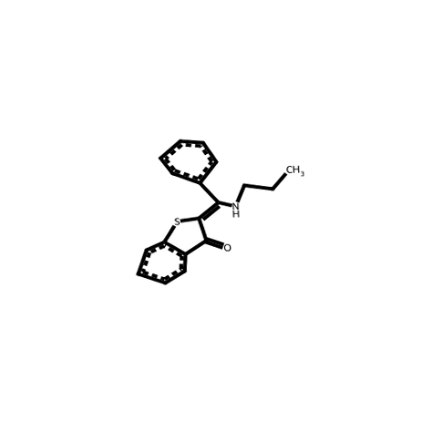 CCCN/C(=C1/Sc2ccccc2C1=O)c1ccccc1